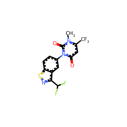 Cn1c(C(F)(F)F)cc(=O)n(-c2ccc3snc(C(F)F)c3c2)c1=O